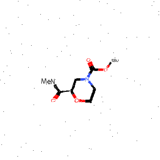 CNC(=O)[C@H]1CN(C(=O)OC(C)(C)C)CCO1